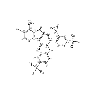 CS(=O)(=O)c1ccc(-c2nc3sc4c(O)c(F)ccc4c3c(=O)n2Cc2cnc(C(F)(F)F)nc2)c(C2CC2)c1